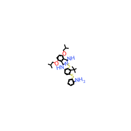 CC(C)COc1ccc(OCC(C)C)c2c1C(=N)N(Sc1cccc(Sc3ccccc3N)c1C(C)(C)C)C2=N